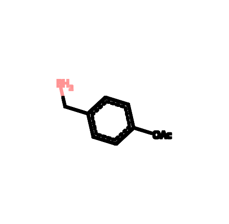 BCc1ccc(OC(C)=O)cc1